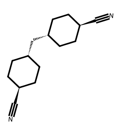 N#C[C@H]1CC[C@H](C[C@H]2CC[C@H](C#N)CC2)CC1